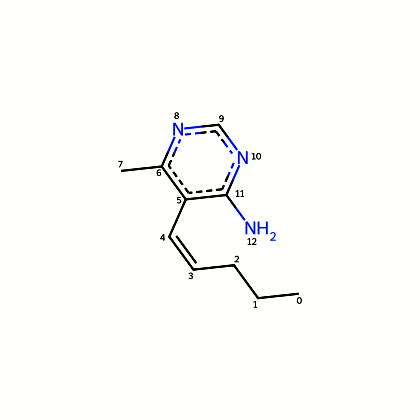 CCC/C=C\c1c(C)ncnc1N